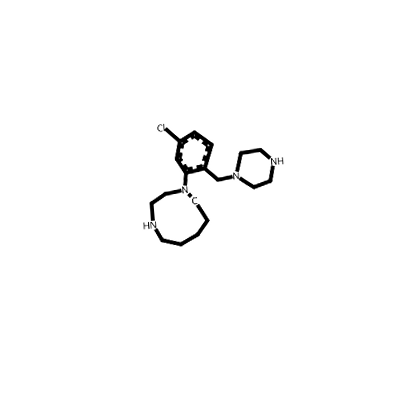 Clc1ccc(CN2CCNCC2)c(N2CCCCCNCC2)c1